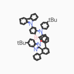 CC(C)(C)c1ccc(N2c3cc(-n4c5ccccc5c5ccccc54)ccc3B3c4c2cccc4-n2c(-c4c(-c5ccccc5)cccc4-c4ccccc4)nc4cc(C(C)(C)C)cc3c42)cc1